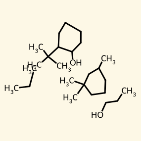 CC(C)(C)C1CCCCC1O.CC1CCCC(C)(C)C1.CCC.CCCO